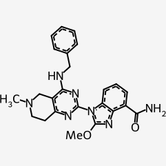 COc1nc2c(C(N)=O)cccc2n1-c1nc2c(c(NCc3ccccc3)n1)CN(C)CC2